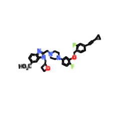 O=C(O)c1ccc2nc(CN3CCN(c4ccc(F)c(OCc5ccc(C#CC6CC6)cc5F)c4)CC3)n(CC3CCO3)c2c1